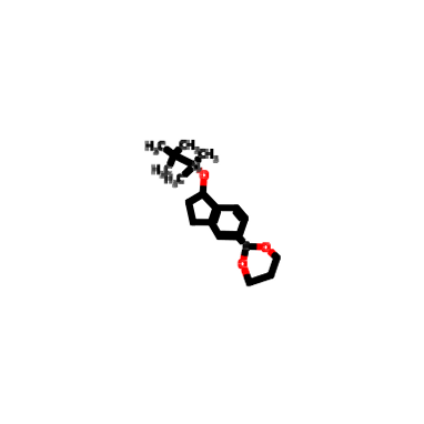 CC(C)(C)[Si](C)(C)OC1CCc2cc(B3OCCCO3)ccc21